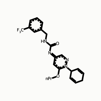 CCCOc1cc(=NC(=O)NCc2cccc(C(F)(F)F)c2)cnn1C1C=CCC=C1